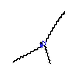 CCCCCCCCCCCCCCCCCCN1C=CN(CCCCCCCCCCCCCCCCC)C1CCCCCCCCCCC